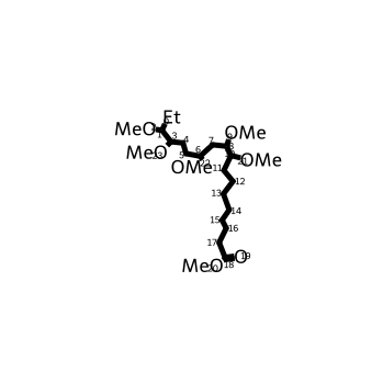 CCC(OC)C(CCC(CC(OC)C(CCCCCCCC(=O)OC)OC)OC)OC